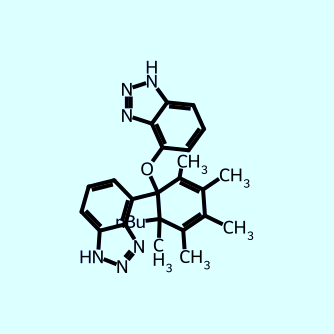 CCCCC1(C)C(C)=C(C)C(C)=C(C)C1(Oc1cccc2[nH]nnc12)c1cccc2[nH]nnc12